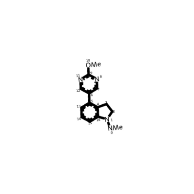 CNN1CCc2c(-c3cnc(OC)nc3)cccc21